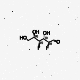 O=C[C@@H](F)[C@@H](O)[C@@H](F)[C@H](O)CO